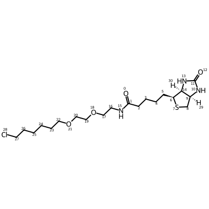 O=C(CCCC[C@@H]1SC[C@@H]2NC(=O)N[C@@H]21)NCCOCCOCCCCCCCl